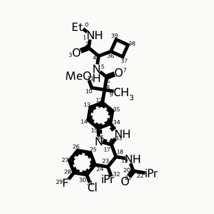 CCNC(=O)C(NC(=O)C(C)(COC)c1ccc2nc(C(NC(=O)C(C)C)C(c3cccc(F)c3Cl)C(C)C)[nH]c2c1)C1CCC1